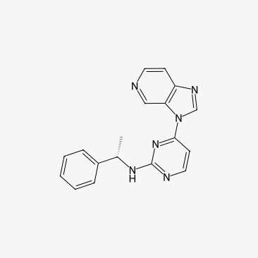 C[C@H](Nc1nccc(-n2cnc3ccncc32)n1)c1ccccc1